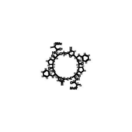 CNC(C)C(=O)NC1CCC2(C(F)(F)F)NCC(O2)C(Cc2ccccc2)NC(=O)C2CCCN2C(=O)C(NC(=O)C(C)NC)CCC2(C(F)(F)F)NCC(O2)C(Cc2ccccc2)NC(=O)C2CCCN2C1=O